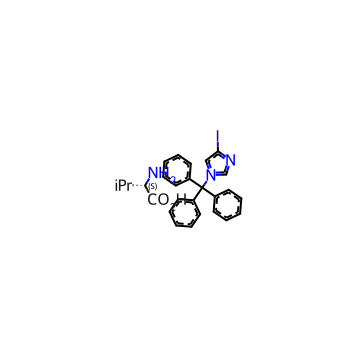 CC(C)[C@H](N)C(=O)O.Ic1cn(C(c2ccccc2)(c2ccccc2)c2ccccc2)cn1